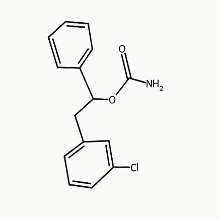 NC(=O)OC(Cc1cccc(Cl)c1)c1ccccc1